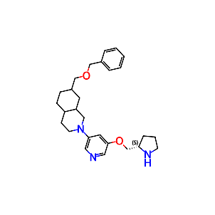 c1ccc(COCC2CCC3CCN(c4cncc(OC[C@@H]5CCCN5)c4)CC3C2)cc1